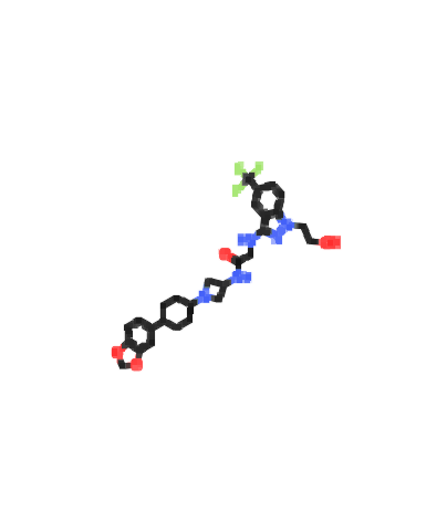 O=C(CNc1nn(CCO)c2ccc(C(F)(F)F)cc12)NC1CN(C2CCC(c3ccc4c(c3)OCO4)CC2)C1